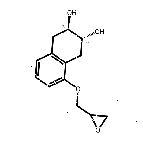 O[C@@H]1Cc2cccc(OCC3CO3)c2C[C@H]1O